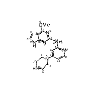 COc1nc(Nc2cc(N3CCNCC3)ccn2)nc2[nH]ccc12